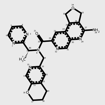 C[C@H](c1ncccn1)N(Cc1cc2c(cn1)OCCC2)C(=O)c1cc2c3c(c(N)nc2cn1)COC3